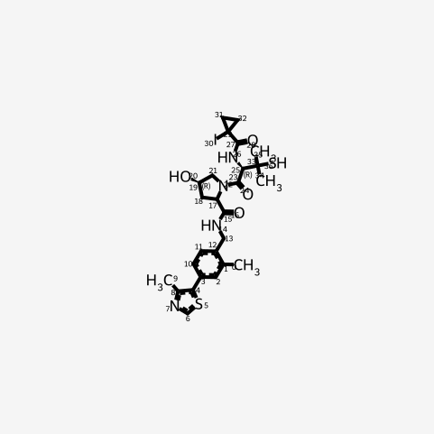 Cc1cc(-c2scnc2C)ccc1CNC(=O)C1C[C@@H](O)CN1C(=O)[C@@H](NC(=O)C1(I)CC1)C(C)(C)S